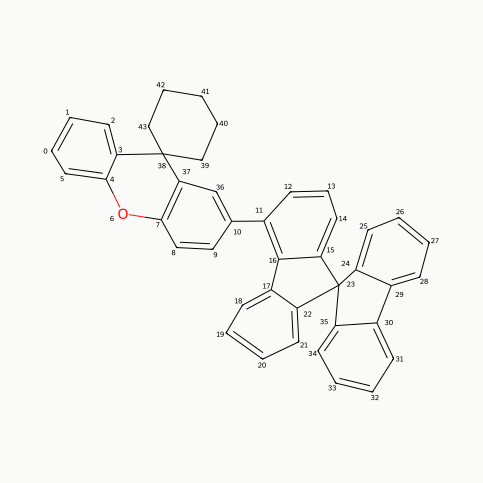 c1ccc2c(c1)Oc1ccc(-c3cccc4c3-c3ccccc3C43c4ccccc4-c4ccccc43)cc1C21CCCCC1